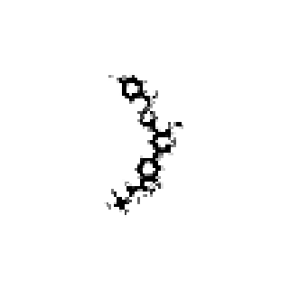 [2H]C([2H])([2H])NC(=O)c1n[nH]c2cc(-c3cnc(OC)c(-c4nnn([C@H](C)c5ccc(F)cc5)n4)c3)ccc12